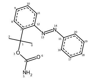 CC(C)(OC(N)=O)c1ccccc1/N=N/c1ccccc1